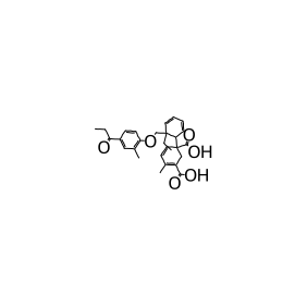 CCC(=O)c1ccc(OCC2(CC)C=CC=CC2C2(C(=O)O)C=CC(C)=C(C(=O)O)C2)c(C)c1